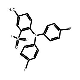 Cc1ccc(P(c2ccc(F)cc2)c2ccc(F)cc2)c(S(=O)(=O)F)c1